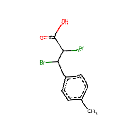 Cc1ccc(C(Br)C(Br)C(=O)O)cc1